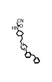 N#CCC(=O)NC1CCC(CCN2CCN(c3cccc(Cc4ccccc4)c3)CC2)CC1